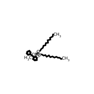 CCCCCCCCCCCCCOP(OCCCCCCCCCCCCC)Oc1ccccc1C(C)(C)c1[c]cccc1